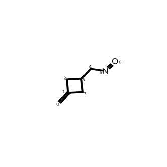 C=C1CC(CN=O)C1